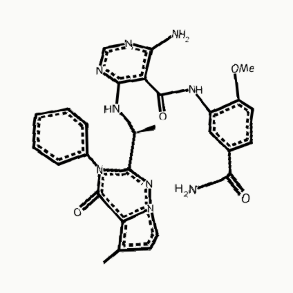 COc1ccc(C(N)=O)cc1NC(=O)c1c(N)ncnc1N[C@@H](C)c1nn2ccc(C)c2c(=O)n1-c1ccccc1